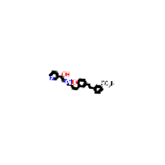 O=C(O)c1cccc(CCc2ccc3c(c2)CC[C@@H](CNC[C@H](O)c2cccnc2)O3)c1